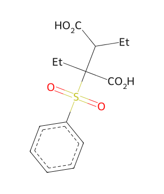 CCC(C(=O)O)C(CC)(C(=O)O)S(=O)(=O)c1ccccc1